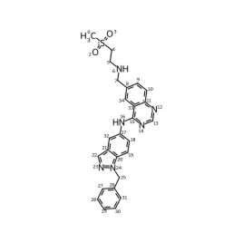 CS(=O)(=O)CCNCc1ccc2ncnc(Nc3ccc4c(cnn4Cc4ccccc4)c3)c2c1